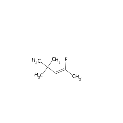 [CH2]/C(F)=C/C(C)(C)C